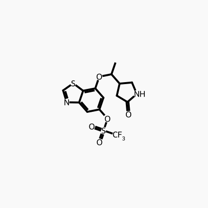 CC(Oc1cc(OS(=O)(=O)C(F)(F)F)cc2ncsc12)C1CNC(=O)C1